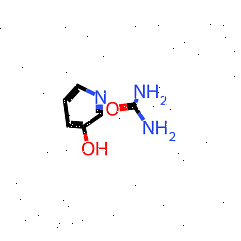 NC(N)=O.Oc1cccnc1